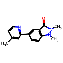 Cc1ccnc(-c2ccc3c(c2)c(=O)n(C)n3C)c1